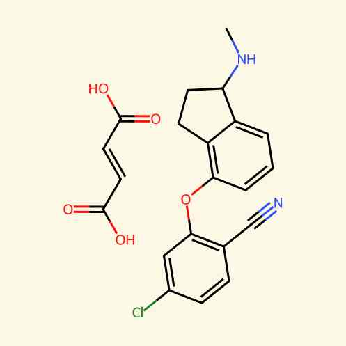 CNC1CCc2c(Oc3cc(Cl)ccc3C#N)cccc21.O=C(O)C=CC(=O)O